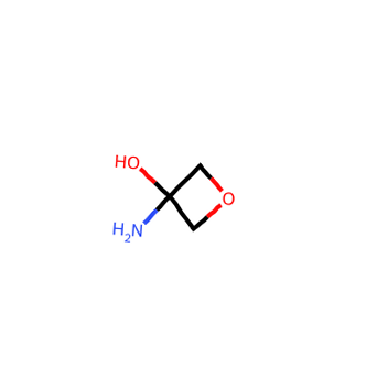 NC1(O)COC1